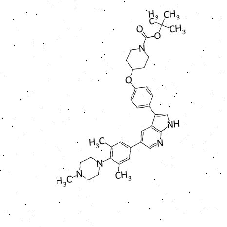 Cc1cc(-c2cnc3[nH]cc(-c4ccc(OC5CCN(C(=O)OC(C)(C)C)CC5)cc4)c3c2)cc(C)c1N1CCN(C)CC1